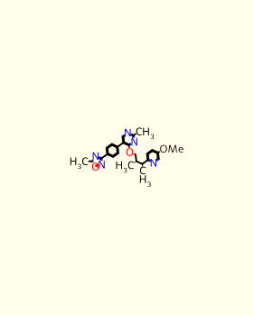 COc1ccc([C@@H](C)[C@H](C)COc2nc(C)ncc2-c2ccc(-c3noc(C)n3)cc2)nc1